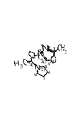 Cc1nnc([C@@H]2CCCN2C(C)C)o1